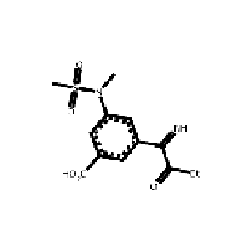 CCC(=O)C(=N)c1cc(C(=O)O)cc(N(C)S(C)(=O)=O)c1